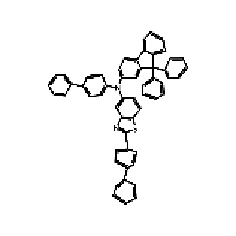 c1ccc(-c2ccc(-c3nc4cc(N(c5ccc(-c6ccccc6)cc5)c5ccc6c(c5)C(c5ccccc5)(c5ccccc5)c5ccccc5-6)ccc4s3)cc2)cc1